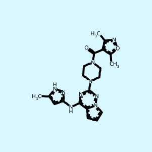 Cc1cc(Nc2nc(N3CCN(C(=O)c4c(C)noc4C)CC3)nn3cccc23)n[nH]1